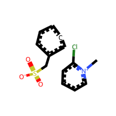 C[n+]1ccccc1Cl.O=S(=O)([O-])Cc1ccccc1